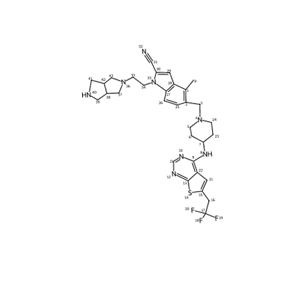 Cc1c(CN2CCC(Nc3ncnc4sc(CC(F)(F)F)cc34)CC2)ccc2c1cc(C#N)n2CCN1CC2CNCC2C1